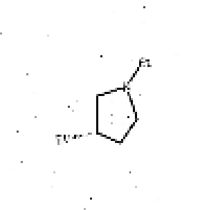 CC[C@H]1CCN(CC)C1